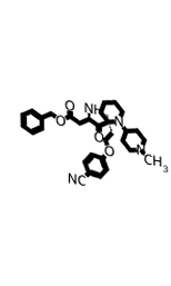 CN1CCC(N2CCCC[C@]2(CCOc2ccc(C#N)cc2)C(=O)[C@H](N)CC(=O)OCc2ccccc2)CC1